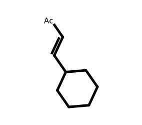 CC(=O)/C=C/C1CCCCC1